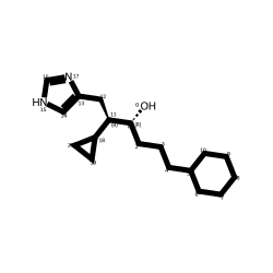 O[C@H](CCCC1CCCCC1)[C@H](Cc1c[nH]cn1)C1CC1